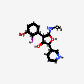 CNC1=C(c2cccc(Br)c2I)C(=O)C(c2cccnc2)O1